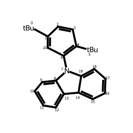 CC(C)(C)c1ccc(C(C)(C)C)c(-n2c3ccccc3c3ccccc32)c1